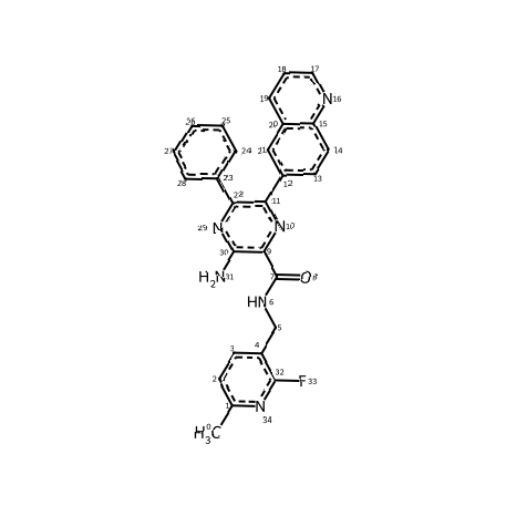 Cc1ccc(CNC(=O)c2nc(-c3ccc4ncccc4c3)c(-c3ccccc3)nc2N)c(F)n1